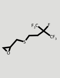 FC(F)(F)C(F)(CCSCC1CO1)C(F)(F)F